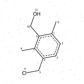 Cc1ccc(CCl)c(C)c1CO